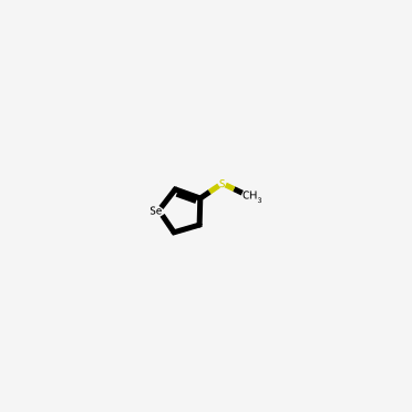 CSC1=C[Se]CC1